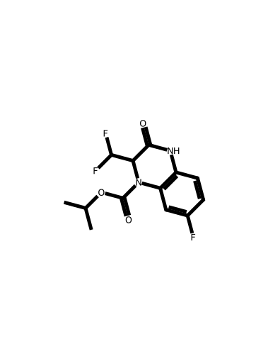 CC(C)OC(=O)N1c2cc(F)ccc2NC(=O)C1C(F)F